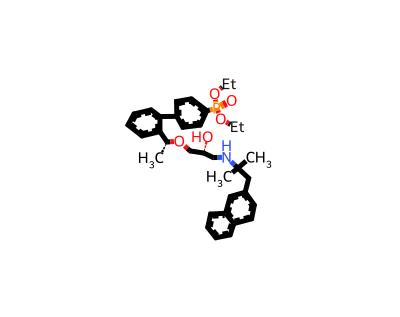 CCOP(=O)(OCC)c1ccc(-c2ccccc2[C@@H](C)OC[C@H](O)CNC(C)(C)Cc2ccc3ccccc3c2)cc1